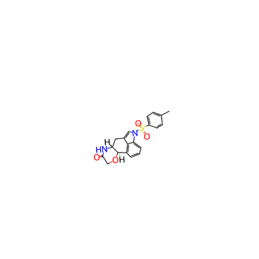 Cc1ccc(S(=O)(=O)n2cc3c4c(cccc42)[C@H]2OCC(=O)N[C@@H]2C3)cc1